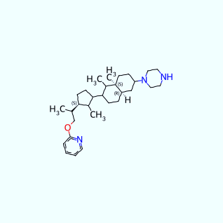 CC(COc1ccccn1)[C@H]1CCC(C2CC[C@@H]3CC(N4CCNCC4)CC[C@]3(C)C2C)C1C